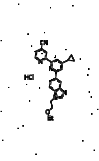 CCOCCn1cnc2cc(-c3cc(C4CC4)cc(-c4cc(C#N)ccn4)n3)ccc21.Cl